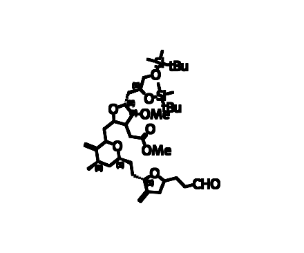 C=C1C(CC2O[C@H](C[C@@H](CO[Si](C)(C)C(C)(C)C)O[Si](C)(C)C(C)(C)C)[C@H](OC)C2CC(=O)OC)O[C@@H](CC[C@@H]2OC(CCC=O)CC2=C)C[C@H]1C